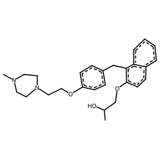 CC(O)COc1ccc2ccccc2c1Cc1ccc(OCCN2CCN(C)CC2)cc1